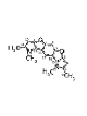 Cc1cc2oc3cc4oc5cc(C)n(C)c5c4cc3c2n1C